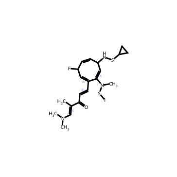 C/C(=C\N(C)C)C(=O)/C=C/C1=C/C(F)C=CC(NSC2CC2)/C=C\1N(C)SI